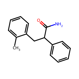 Cc1ccccc1CC(C(N)=O)c1ccccc1